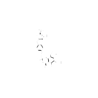 CCC1(COc2ccc(CC3SC(=N)NC3=O)cc2)CC(=O)c2c(C)c(O)c(OC)c(OC)c2O1